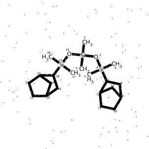 C[Si](C)(O[Si](C)(C)C1CC2CCC1C2)O[Si](C)(C)C1CC2CCC1C2